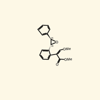 COC=C(C(=O)OC)c1ccccc1[C@H]1O[C@@H]1c1ccccc1